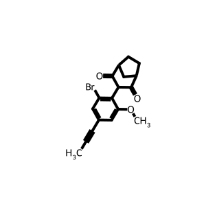 CC#Cc1cc(Br)c(C2C(=O)C3CCC(C3)C2=O)c(OC)c1